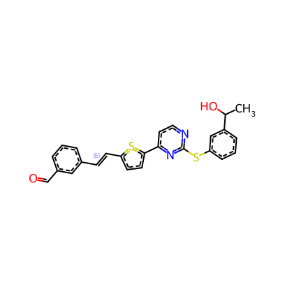 CC(O)c1cccc(Sc2nccc(-c3ccc(/C=C/c4cccc(C=O)c4)s3)n2)c1